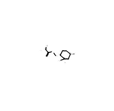 CC(C)[C@H](N)C(=O)NC[C@@H]1CC[C@@H](C)C[C@]1(N)C(=O)O